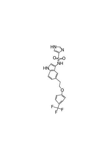 O=S(=O)(Nc1c[nH]c2ccc(CCOc3ccc(C(F)(F)F)cc3)cc12)c1c[nH]cn1